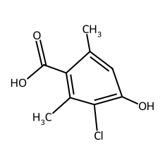 Cc1cc(O)c(Cl)c(C)c1C(=O)O